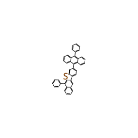 c1ccc(-c2c3ccccc3c(-c3ccc4c(c3)sc3c(-c5ccccc5)c5ccccc5cc34)c3ccccc23)cc1